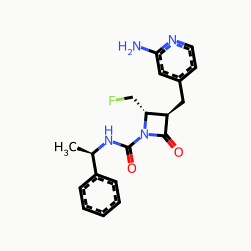 C[C@@H](NC(=O)N1C(=O)[C@H](Cc2ccnc(N)c2)[C@H]1CF)c1ccccc1